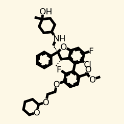 COC(=O)c1ccc(OCCOC2CCCCO2)c(F)c1-c1c(Cl)c(F)cc2c1[C@H](C)[C@@](CNC1CCC(C)(O)CC1)(c1ccccc1)O2